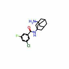 NC12CC3CC(C1)CC(NC(=O)c1cc(F)cc(Cl)c1)(C3)C2